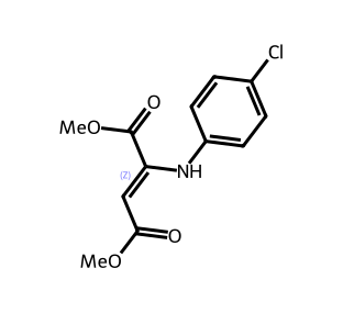 COC(=O)/C=C(\Nc1ccc(Cl)cc1)C(=O)OC